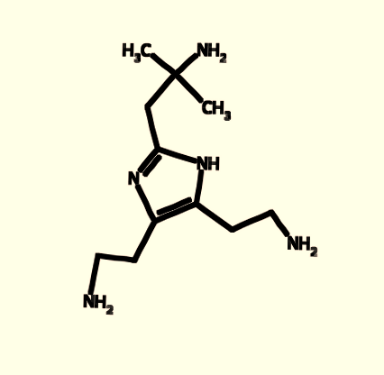 CC(C)(N)Cc1nc(CCN)c(CCN)[nH]1